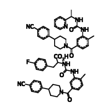 Cc1ccc(C(=O)N2CCC(c3ccc(C#N)cc3)CC2)cc1NC(=O)NC(C)c1ccccn1.Cc1ccc(C(=O)N2CCC(c3ccc(C#N)cc3)CC2)cc1NC(=O)NC(Cc1ccc(F)cc1)C(=O)O